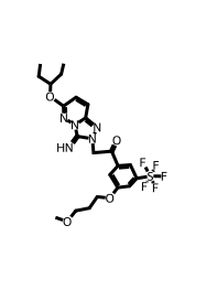 CCC(CC)Oc1ccc2nn(CC(=O)c3cc(OCCCOC)cc(S(F)(F)(F)(F)F)c3)c(=N)n2n1